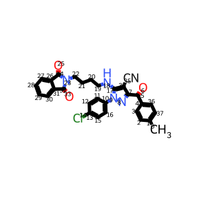 Cc1ccc(C(=O)c2nn(-c3ccc(Cl)cc3)c(NCCCCN3C(=O)c4ccccc4C3=O)c2C#N)cc1